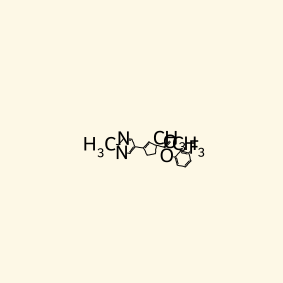 Cc1ncc(C2=C[C@](C)(C(=O)Oc3cccc(F)c3C)CC2)cn1